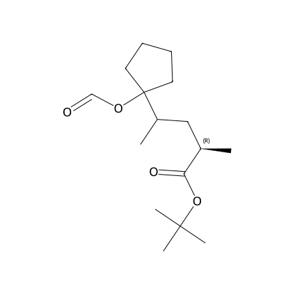 CC(C[C@@H](C)C(=O)OC(C)(C)C)C1(OC=O)CCCC1